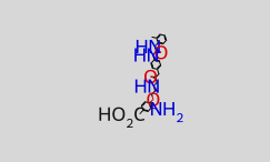 Cc1ccccc1NC(=O)Nc1ccc(CC(=O)CNCCOc2ccc(C(=O)O)cc2N)cc1